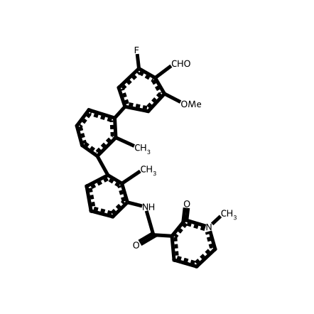 COc1cc(-c2cccc(-c3cccc(NC(=O)c4cccn(C)c4=O)c3C)c2C)cc(F)c1C=O